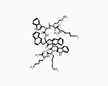 NCCCC[C@@H](N)C(=O)N[C@H](CCCCN)C(=O)N[C@H](Cc1c[nH]c2ccccc12)C(=O)NCC(Cc1ccc2ccccc2c1)(Cc1ccc2ccccc2c1)C(=O)N[C@@H](Cc1c[nH]c2ccccc12)C(=O)N[C@@H](CCCCN)C(=O)N[C@@H](CCCCN)C(N)=O